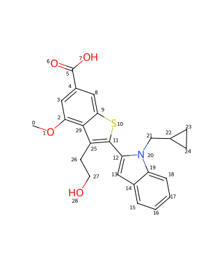 COc1cc(C(=O)O)cc2sc(-c3cc4ccccc4n3CC3CC3)c(CCO)c12